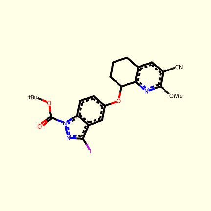 COc1nc2c(cc1C#N)CCCC2Oc1ccc2c(c1)c(I)nn2C(=O)OC(C)(C)C